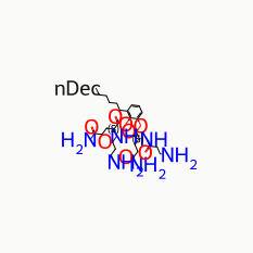 CCCCCCCCCCCCCCCc1cccc(OC(=O)[C@H](CCC(N)=O)NC(=O)CCN)c1OC(=O)[C@H](CCC(N)=O)NC(=O)CCN